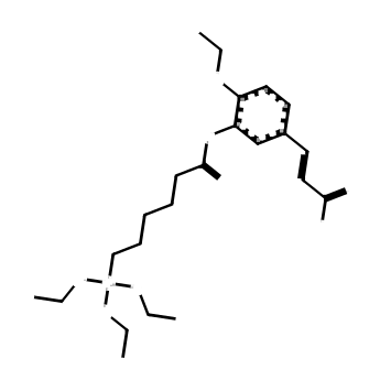 CCOc1ccc(C=CC(=O)O)cc1OC(=O)CCCCC[Si](OCC)(OCC)OCC